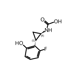 O=C(O)N[C@@H]1C[C@H]1c1c(O)cccc1F